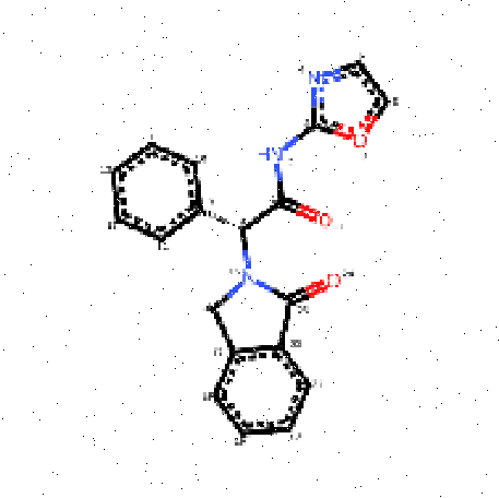 O=C(Nc1ncco1)[C@@H](c1ccccc1)N1Cc2ccccc2C1=O